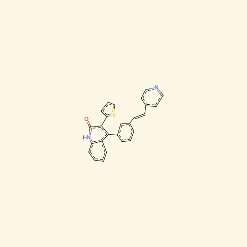 O=c1[nH]c2ccccc2c(-c2cccc(/C=C/c3ccncc3)c2)c1-c1cccs1